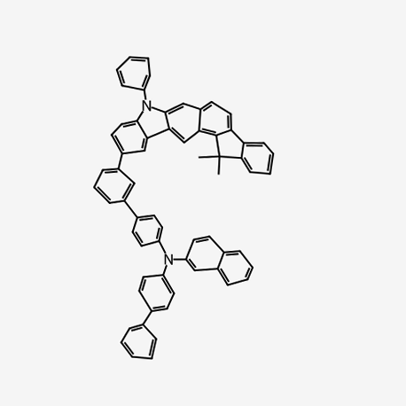 CC1(C)c2ccccc2-c2ccc3cc4c(cc3c21)c1cc(-c2cccc(-c3ccc(N(c5ccc(-c6ccccc6)cc5)c5ccc6ccccc6c5)cc3)c2)ccc1n4-c1ccccc1